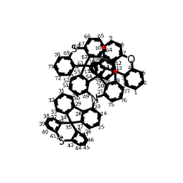 c1ccc2c(c1)Oc1ccccc1C21c2ccccc2-c2c(N(c3cccc4c3-c3ccccc3C43c4ccccc4Sc4ccccc43)c3cccc4c3-c3ccccc3C43c4ccccc4Sc4ccccc43)cccc21